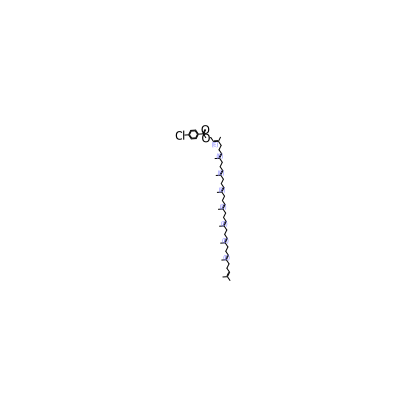 CC(C)=CCC/C(C)=C/CC/C(C)=C/CC/C(C)=C/CC/C(C)=C/CC/C(C)=C/CC/C(C)=C/CC/C(C)=C/CC/C(C)=C/COC(=O)c1ccc(Cl)cc1